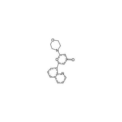 O=c1cc(-c2cccc3cccnc23)oc(N2CCOCC2)c1